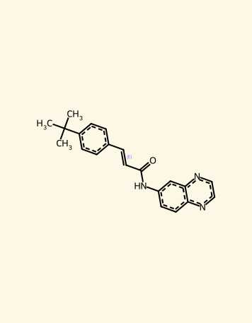 CC(C)(C)c1ccc(/C=C/C(=O)Nc2ccc3nccnc3c2)cc1